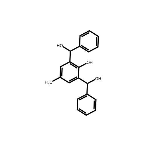 Cc1cc(C(O)c2ccccc2)c(O)c(C(O)c2ccccc2)c1